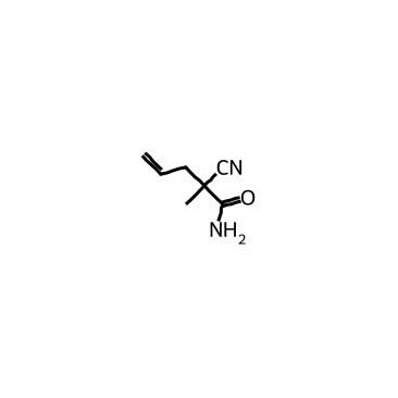 C=CCC(C)(C#N)C(N)=O